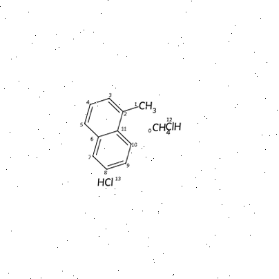 C.Cc1cccc2ccccc12.Cl.Cl